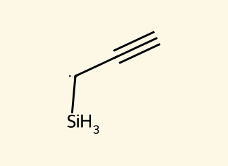 C#C[CH][SiH3]